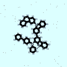 c1ccc(-c2ccc(N(c3ccccc3)c3cc(-c4ccc5c(c4)c4ccccc4n5-c4ccc5ccc6ccccc6c5c4)cc4c3sc3ccccc34)cc2)cc1